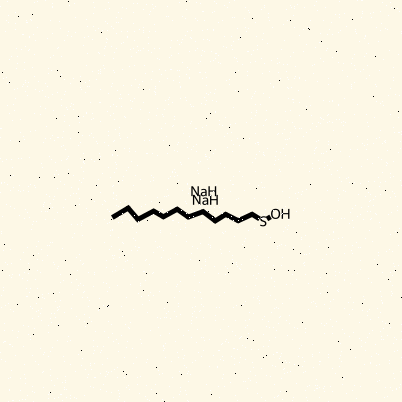 CCCCCCCCCCCCSO.[NaH].[NaH]